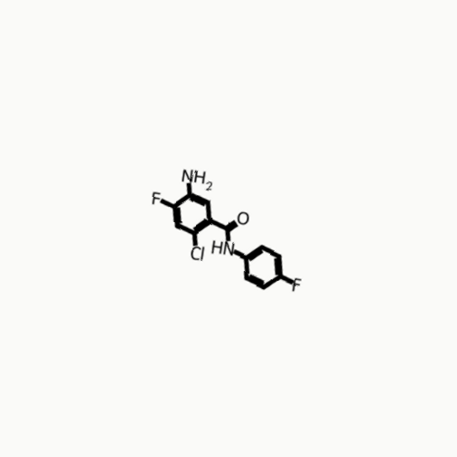 Nc1cc(C(=O)Nc2ccc(F)cc2)c(Cl)cc1F